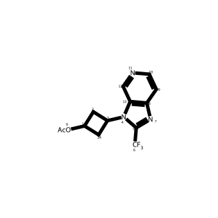 CC(=O)OC1CC(n2c(C(F)(F)F)nc3ccncc32)C1